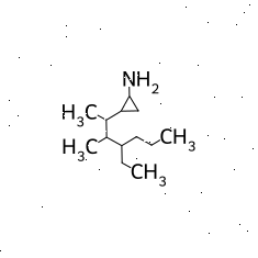 CCCC(CC)C(C)C(C)C1CC1N